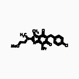 CCCn1c(=O)n(Cc2ccc(Cl)cc2)c(=O)c2c1nc(N(C)CCOC)n2C